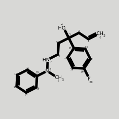 C=CCC(O)(CCNN(C)c1ccccc1)c1ccc(F)cc1